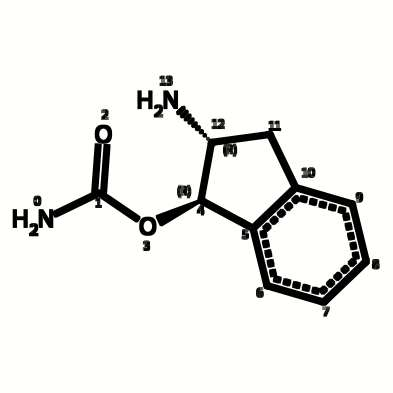 NC(=O)O[C@@H]1c2ccccc2C[C@H]1N